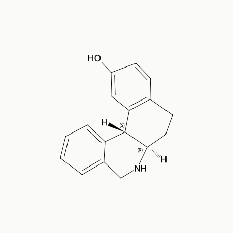 Oc1ccc2c(c1)[C@H]1c3ccccc3CN[C@@H]1CC2